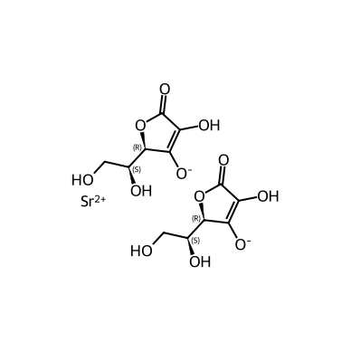 O=C1O[C@H]([C@@H](O)CO)C([O-])=C1O.O=C1O[C@H]([C@@H](O)CO)C([O-])=C1O.[Sr+2]